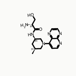 C[C@H]1C[C@@H](NC(=O)[C@H](N)CO)CN(c2ccnc3nccnc23)C1